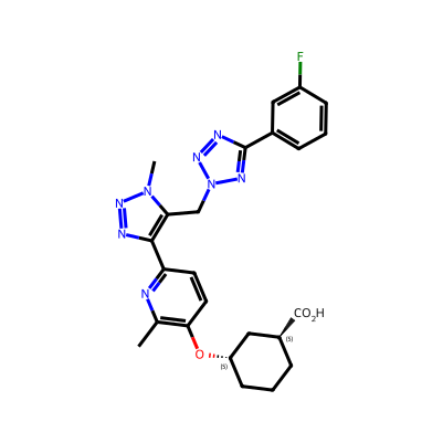 Cc1nc(-c2nnn(C)c2Cn2nnc(-c3cccc(F)c3)n2)ccc1O[C@H]1CCC[C@H](C(=O)O)C1